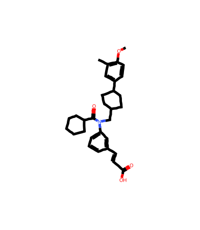 COc1ccc(C2CCC(CN(C(=O)C3CCCCC3)c3cccc(C=CC(=O)O)c3)CC2)cc1C